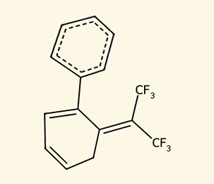 FC(F)(F)C(=C1CC=CC=C1c1ccccc1)C(F)(F)F